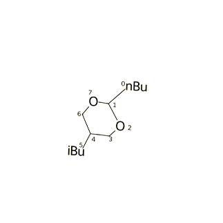 CCCCC1OCC(C(C)CC)CO1